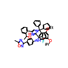 CCOc1cc(OC(C)C)c(F)c(C(Nc2ccc(-c3noc(C)n3)cc2)c2nc(-c3ccccc3C(C)O)cn2C(c2ccccc2)(c2ccccc2)c2ccccc2)c1